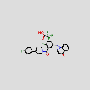 O=C(O)C(F)(F)F.O=C(c1cc(Cn2ccc(=O)c3ccccc32)ccc1F)N1CC=C(c2ccc(F)cc2)CC1